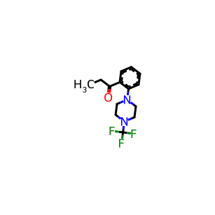 CCC(=O)c1ccccc1N1CCN(C(F)(F)F)CC1